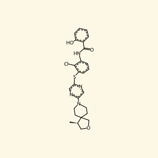 C[C@@H]1COCC12CCN(c1cnc(Sc3cccc(NC(=O)c4ccccc4O)c3Cl)cn1)CC2